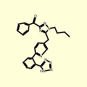 CCCCn1nc(C(=O)c2ccccc2)nc1Cc1ccc(-c2ccccc2-c2nnn[nH]2)nc1